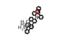 CC1(C)c2ccccc2-c2ccc3c(c21)C(C)(C)c1cccc2c(N(c4ccccc4-c4ccccc4)c4cccc5c4oc4ccccc45)ccc-3c12